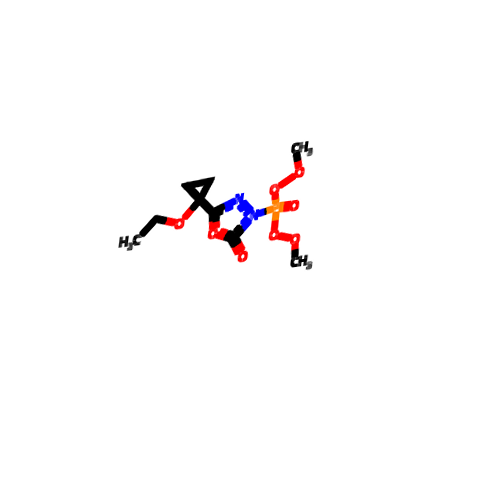 CCOC1(c2nn(P(=O)(OOC)OOC)c(=O)o2)CC1